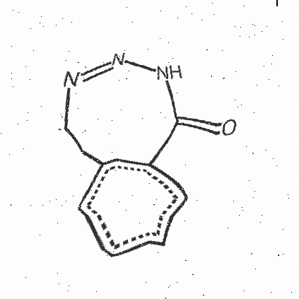 O=C1NN=N[CH]c2ccccc21